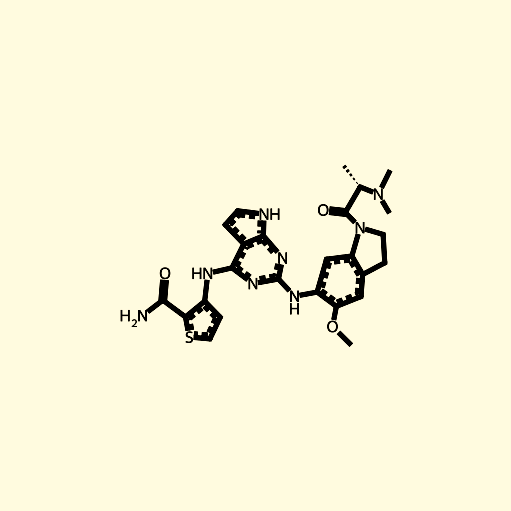 COc1cc2c(cc1Nc1nc(Nc3ccsc3C(N)=O)c3cc[nH]c3n1)N(C(=O)[C@H](C)N(C)C)CC2